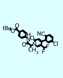 CC(C(=O)Nc1ccc(C(=O)OC(C)(C)C)cc1)n1cc(C(F)F)c(-c2cc(Cl)ccc2C#N)cc1=O